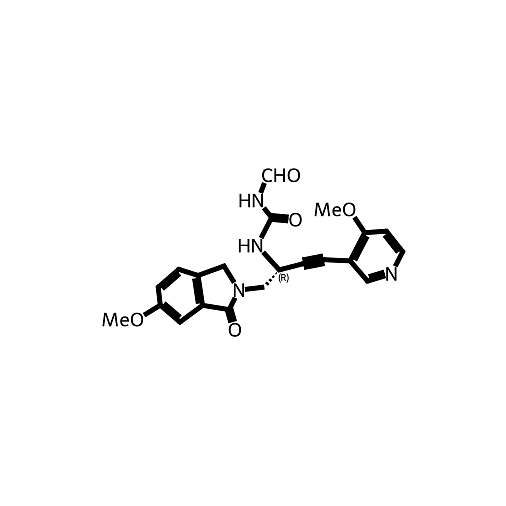 COc1ccc2c(c1)C(=O)N(C[C@@H](C#Cc1cnccc1OC)NC(=O)NC=O)C2